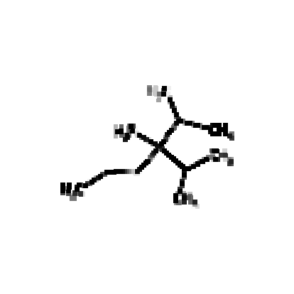 CCCC(P)(C(C)C)C(C)C